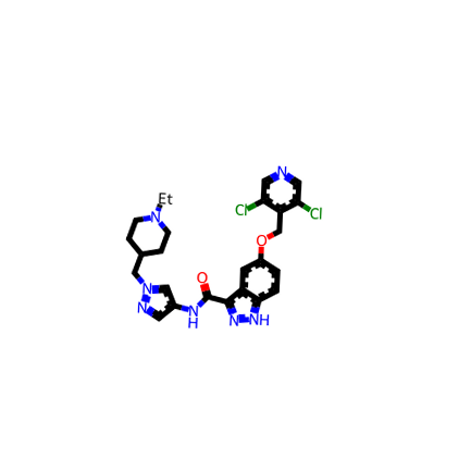 CCN1CCC(Cn2cc(NC(=O)c3n[nH]c4ccc(OCc5c(Cl)cncc5Cl)cc34)cn2)CC1